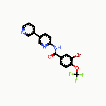 O=C(Nc1ccc(-c2cccnc2)cn1)c1ccc(OC(F)(F)F)c(Br)c1